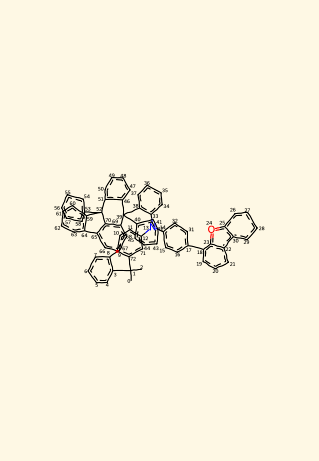 CC1(C)c2ccccc2-c2ccc(N(c3ccc(-c4cccc5c4oc4ccccc45)cc3)c3ccccc3C3(c4ccccc4)c4ccccc4C4(c5ccccc5)c5ccccc5-c5cccc3c54)cc21